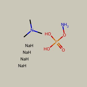 CN(C)C.NOP(=O)(O)O.[NaH].[NaH].[NaH].[NaH]